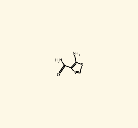 NC(=O)c1ncsc1N